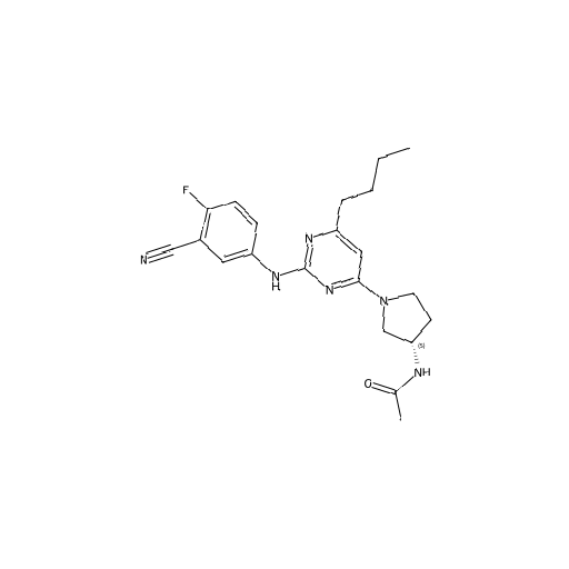 CCCCc1cc(N2CC[C@H](NC(C)=O)C2)nc(Nc2ccc(F)c(C#N)c2)n1